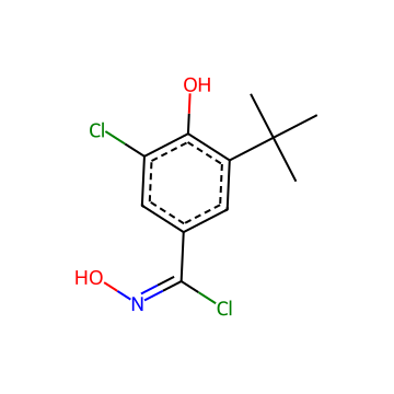 CC(C)(C)c1cc(/C(Cl)=N\O)cc(Cl)c1O